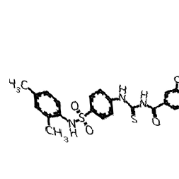 Cc1ccc(NS(=O)(=O)c2ccc(NC(=S)NC(=O)c3cccc(Cl)c3)cc2)c(C)c1